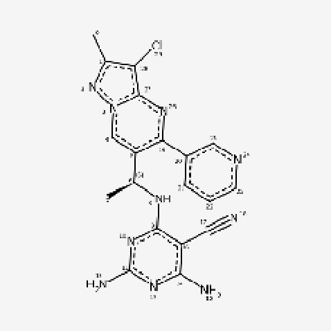 Cc1nn2cc([C@H](C)Nc3nc(N)nc(N)c3C#N)c(-c3cccnc3)nc2c1Cl